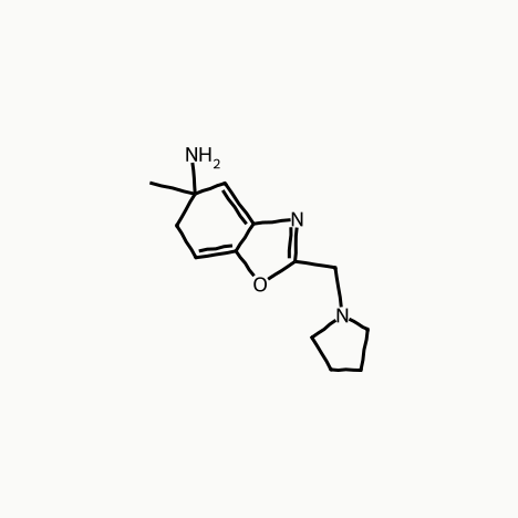 CC1(N)C=c2nc(CN3CCCC3)oc2=CC1